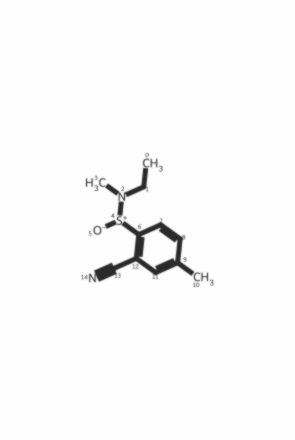 CCN(C)[S+]([O-])c1ccc(C)cc1C#N